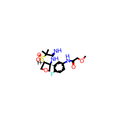 COCC(=O)Nc1ccc(F)c([C@]23COC[C@H]2S(=O)(=O)C(C)(C)C(=N)N3)c1